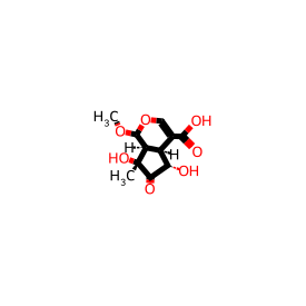 COC1OC=C(C(=O)O)[C@H]2[C@H](O)C(=O)[C@](C)(O)[C@@H]12